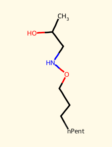 CCCCCCCCONCC(C)O